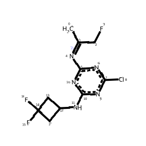 C/C(CF)=N/c1nc(Cl)nc(NC2CC(F)(F)C2)n1